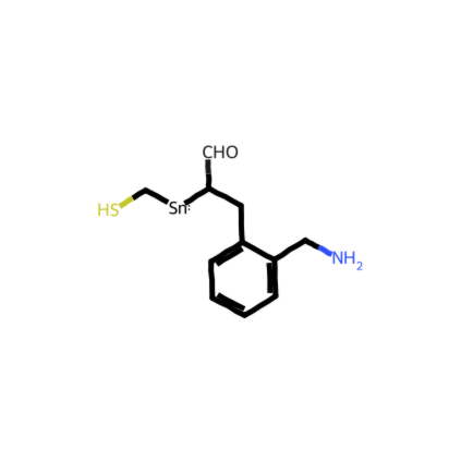 NCc1ccccc1C[CH](C=O)[Sn][CH2]S